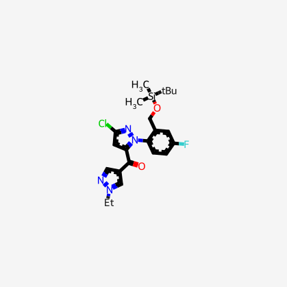 CCn1cc(C(=O)c2cc(Cl)nn2-c2ccc(F)cc2CO[Si](C)(C)C(C)(C)C)cn1